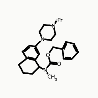 CC(C)N1CCN(c2ccc3c(c2)C(N(C)C(=O)OCc2ccccc2)CCC3)CC1